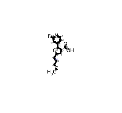 COC/C=C/C1C[C@@H](C(=O)O)C(c2ccnc(F)c2)O1